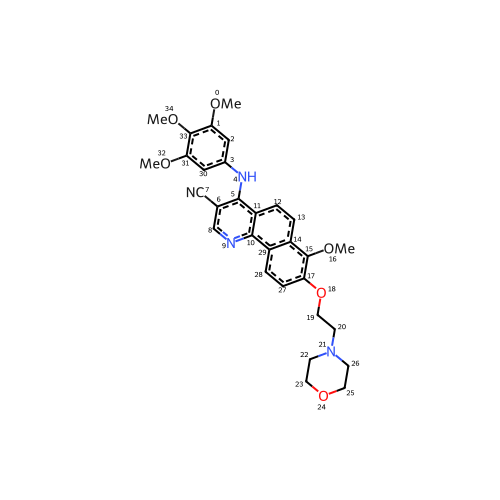 COc1cc(Nc2c(C#N)cnc3c2ccc2c(OC)c(OCCN4CCOCC4)ccc23)cc(OC)c1OC